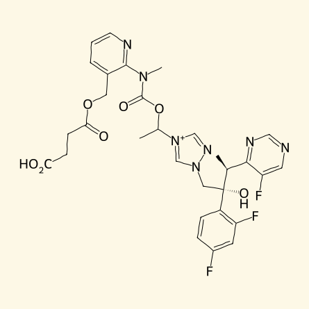 CC(OC(=O)N(C)c1ncccc1COC(=O)CCC(=O)O)[n+]1cnn(C[C@](O)(c2ccc(F)cc2F)[C@@H](C)c2ncncc2F)c1